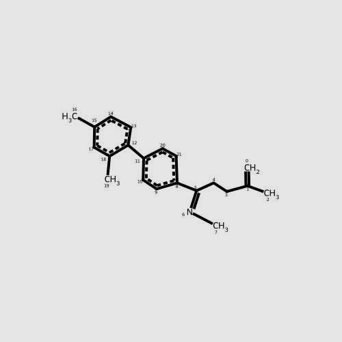 C=C(C)CC/C(=N\C)c1ccc(-c2ccc(C)cc2C)cc1